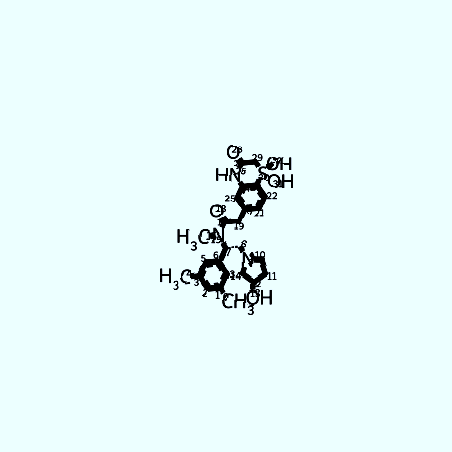 Cc1cc(C)cc([C@@H](CN2CCC(O)C2)N(C)C(=O)Cc2ccc3c(c2)NC(=O)CS3(O)O)c1